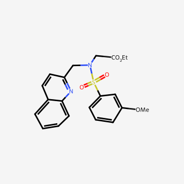 CCOC(=O)CN(Cc1ccc2ccccc2n1)S(=O)(=O)c1cccc(OC)c1